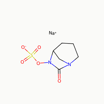 O=C1N2CCCC(C2)N1OS(=O)(=O)[O-].[Na+]